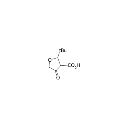 CC(C)(C)C1OCC(=O)C1C(=O)O